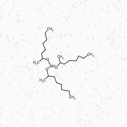 CCCCCCC(C)O[SiH](OC(C)CCCCCC)OC(C)CCCCCC